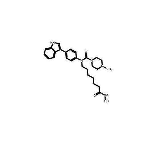 CN1CCN(C(=O)N(CCCCCCC(=O)NO)c2ccc(-c3c[nH]c4ccccc34)cc2)CC1